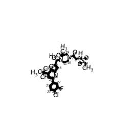 CCS(=O)(=O)NCC(=O)N1CCN(C(=O)c2cc3nc(-c4ccc(Cl)c(F)c4)cc(C(C)(C)C)c3o2)C(C)(C)C1